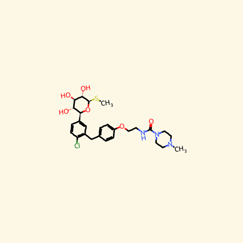 CS[C@H]1O[C@@H](c2ccc(Cl)c(Cc3ccc(OCCNC(=O)N4CCN(C)CC4)cc3)c2)[C@H](O)[C@@H](O)[C@@H]1O